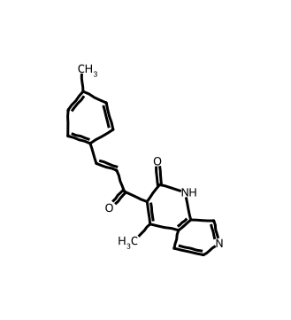 Cc1ccc(C=CC(=O)c2c(C)c3ccncc3[nH]c2=O)cc1